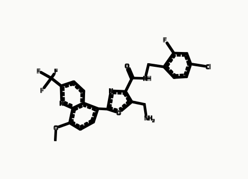 COc1ccc(-c2nc(C(=O)NCc3ccc(Cl)cc3F)c(CN)o2)c2ccc(C(F)(F)F)nc12